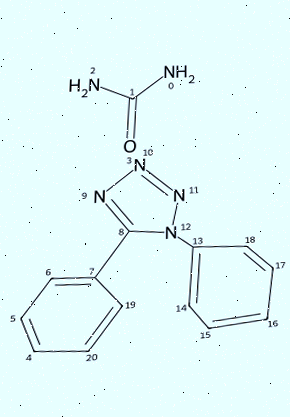 NC(N)=O.c1ccc(-c2nnnn2-c2ccccc2)cc1